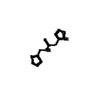 O=C(Cc1ccn[nH]1)NCc1cccs1